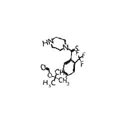 CC(C)(C)OC=O.FC(F)(F)c1ccccc1C(=S)N1CCNCC1